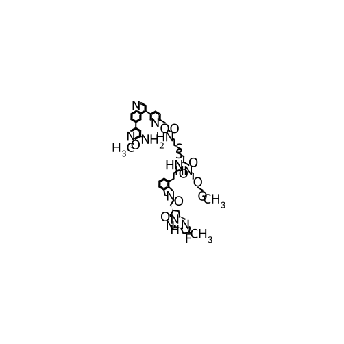 COCCOCCNC(=O)C(CSSCCNC(=O)OCc1ccc(-c2ccnc3ccc(-c4cnc(OC)c(N)c4)cc23)cn1)NC(=O)CCc1cccc2c1CN(C(=O)C[C@@H]1C[C@@H](CN3CC(C)(F)C[C@H]3C#N)NC1=O)C2